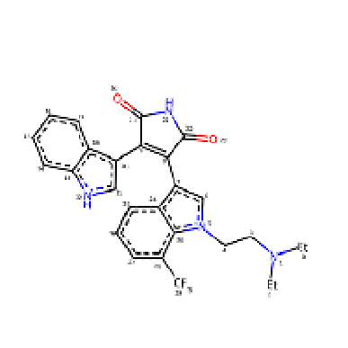 CCN(CC)CCn1cc(C2=C(c3c[nH]c4ccccc34)C(=O)NC2=O)c2cccc(C(F)(F)F)c21